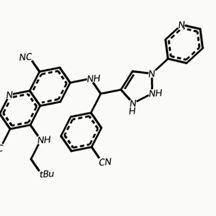 CC(C)(C)CNc1c(C#N)cnc2c(C#N)cc(NC(C3=CN(c4cccnc4)NN3)c3cccc(C#N)c3)cc12